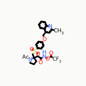 CC(=O)N1CCCC1(CC(=O)NOC(=O)C(F)(F)F)CS(=O)(=O)c1ccc(OCc2cc(C)nc3ccccc23)cc1